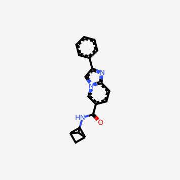 O=C(NC1C2CC1C2)c1ccc2nc(-c3ccccc3)cn2c1